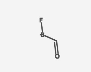 O=C[B]F